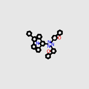 C1=CC(c2nc(-c3cc(-c4ccccc4)c(-n4c5ccccc5c5cc(-c6ccccc6)ccc54)c(-c4ccccc4)c3)nc(-c3cccc4c3oc3ccccc34)n2)Cc2oc3ccccc3c21